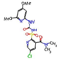 COc1cc(NC(=O)NS(=O)(=O)c2ncc(Cl)cc2C(=O)N(C)C)nc(OC)c1